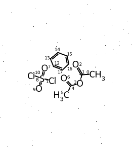 CC(=O)OC(C)=O.O=S(=O)(Cl)Cl.c1ccccc1